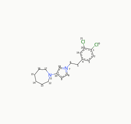 Clc1ccc(CCn2ccc(N3CCCCCC3)c2)cc1Cl